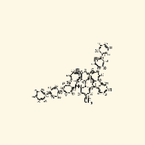 Fc1cc(F)cc(-c2c(-n3c4ccccc4c4cc(-c5ccc(-c6ccccc6)nc5)ccc43)cc(C(F)(F)F)cc2-n2c3ccccc3c3cc(-c4ccc(-c5ccccc5)nc4)ccc32)c1